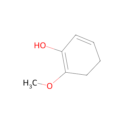 COC1=C(O)C=CCC1